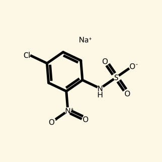 O=[N+]([O-])c1cc(Cl)ccc1NS(=O)(=O)[O-].[Na+]